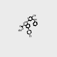 CCN1CCN(c2ccc(Nc3cc(Nc4ccccc4)c(C#N)cn3)c(NC(=O)OC(C)(C)C)c2)CC1